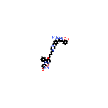 Nc1nnc(-c2ccccc2O)cc1-c1ccc(CN2CCN(CCCCCCc3ccnc4c3c3ccccc3n4C3CCC(=O)NC3=O)CC2)cc1